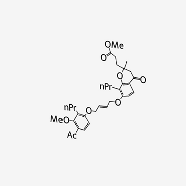 CCCc1c(OCC=CCOc2ccc3c(c2CCC)OC(C)(CCC(=O)OC)CC3=O)ccc(C(C)=O)c1OC